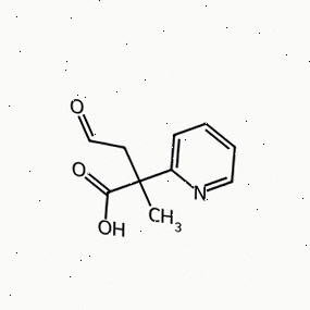 CC(CC=O)(C(=O)O)c1ccccn1